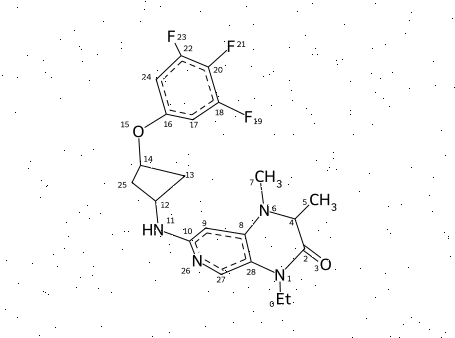 CCN1C(=O)C(C)N(C)c2cc(NC3CC(Oc4cc(F)c(F)c(F)c4)C3)ncc21